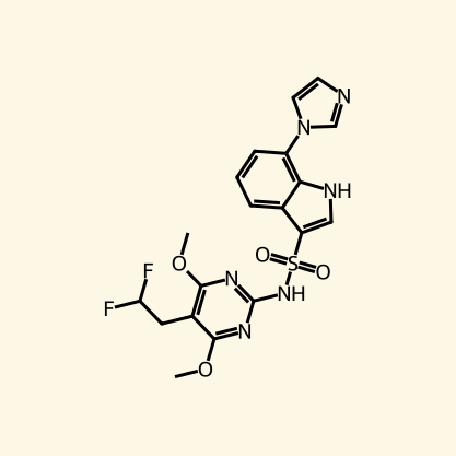 COc1nc(NS(=O)(=O)c2c[nH]c3c(-n4ccnc4)cccc23)nc(OC)c1CC(F)F